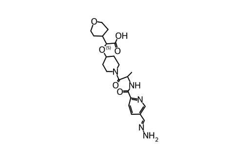 CC(NC(=O)c1ccc(C=NN)cn1)C(=O)N1CCC(O[C@H](C(=O)O)C2CCOCC2)CC1